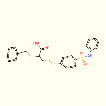 O=C(O)C(CCCc1ccc(S(=O)(=O)Nc2ccccc2)cc1)CCc1ccccc1